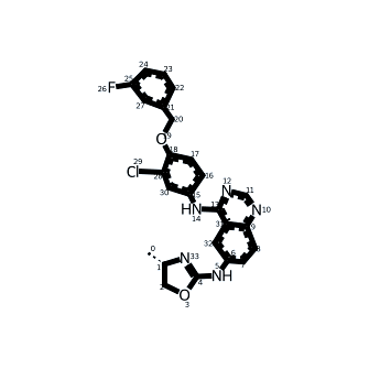 C[C@H]1COC(Nc2ccc3ncnc(Nc4ccc(OCc5cccc(F)c5)c(Cl)c4)c3c2)=N1